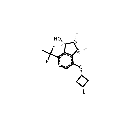 O[C@H]1c2c(C(F)(F)F)ncc(O[C@H]3C[C@H](F)C3)c2[C@@H](F)[C@H]1F